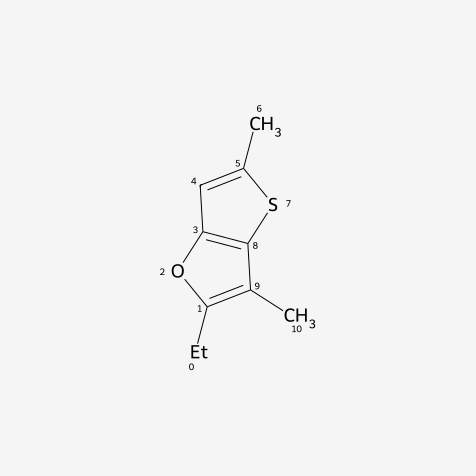 CCc1oc2cc(C)sc2c1C